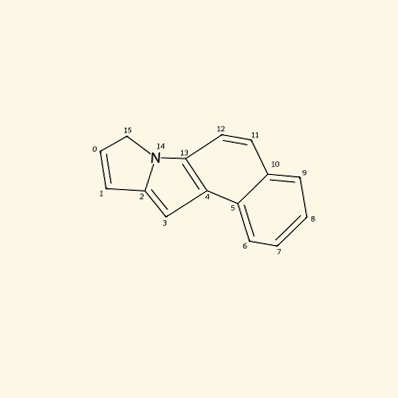 C1=Cc2cc3c4ccccc4ccc3n2C1